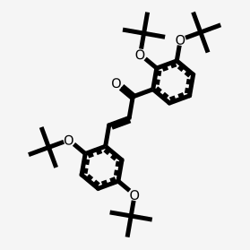 CC(C)(C)Oc1ccc(OC(C)(C)C)c(C=CC(=O)c2cccc(OC(C)(C)C)c2OC(C)(C)C)c1